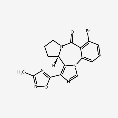 Cc1noc(-c2ncn3c2[C@@H]2CCCN2C(=O)c2c(Br)cccc2-3)n1